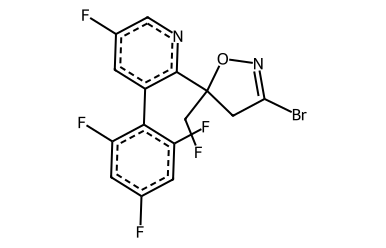 FCC1(c2ncc(F)cc2-c2c(F)cc(F)cc2F)CC(Br)=NO1